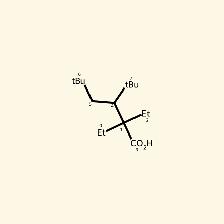 CCC(CC)(C(=O)O)C(CC(C)(C)C)C(C)(C)C